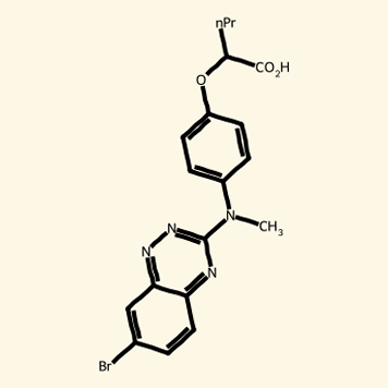 CCCC(Oc1ccc(N(C)c2nnc3cc(Br)ccc3n2)cc1)C(=O)O